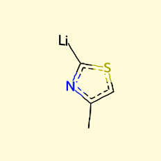 [Li][c]1nc(C)cs1